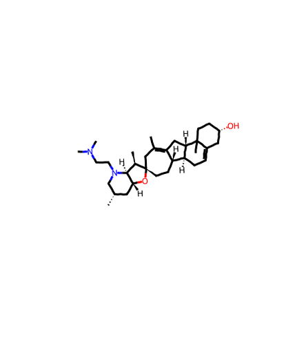 CC1=C2C[C@H]3[C@@H](CC=C4C[C@@H](O)CCC43C)[C@@H]2CC[C@@]2(C1)O[C@@H]1C[C@H](C)CN(CCN(C)C)[C@H]1[C@H]2C